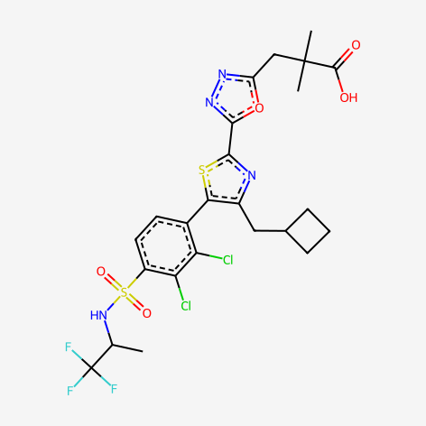 CC(NS(=O)(=O)c1ccc(-c2sc(-c3nnc(CC(C)(C)C(=O)O)o3)nc2CC2CCC2)c(Cl)c1Cl)C(F)(F)F